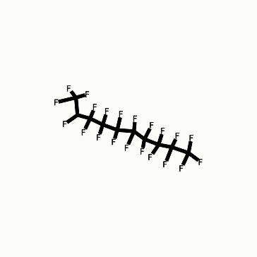 FC(C(F)(F)F)C(F)(F)C(F)(F)C(F)(F)C(F)(F)C(F)(F)C(F)(F)C(F)(F)C(F)(F)F